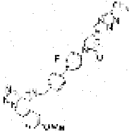 COc1ccc(Cn2nncc2CNCc2ccc(-c3ccc(N4C[C@H](Cn5cc(C)nn5)OC4=O)cc3F)cc2)cc1